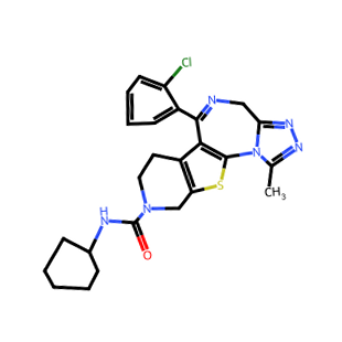 Cc1nnc2n1-c1sc3c(c1C(c1ccccc1Cl)=NC2)CCN(C(=O)NC1CCCCC1)C3